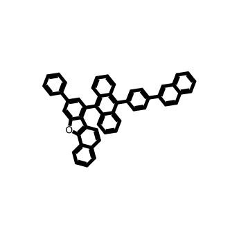 c1ccc(-c2cc(-c3c4ccccc4c(-c4ccc(-c5ccc6ccccc6c5)cc4)c4ccccc34)c3c(c2)oc2c4ccccc4ccc23)cc1